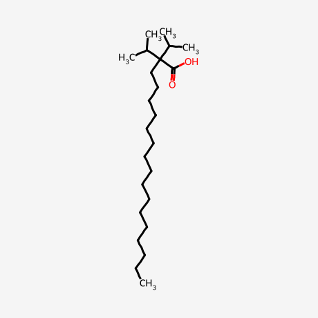 CCCCCCCCCCCCCCCCC(C(=O)O)(C(C)C)C(C)C